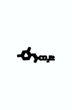 CCOC(=O)/C(C)=C/c1ccc(C)cc1C